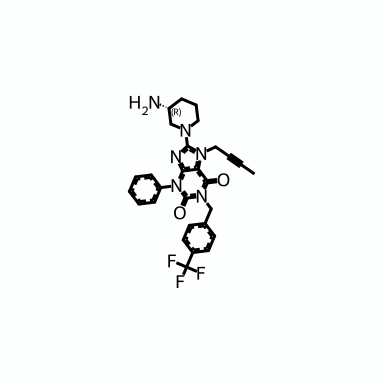 CC#CCn1c(N2CCC[C@@H](N)C2)nc2c1c(=O)n(Cc1ccc(C(F)(F)F)cc1)c(=O)n2-c1ccccc1